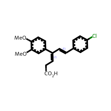 COc1ccc(C(=C\CC(=O)O)/C=C/c2ccc(Cl)cc2)cc1OC